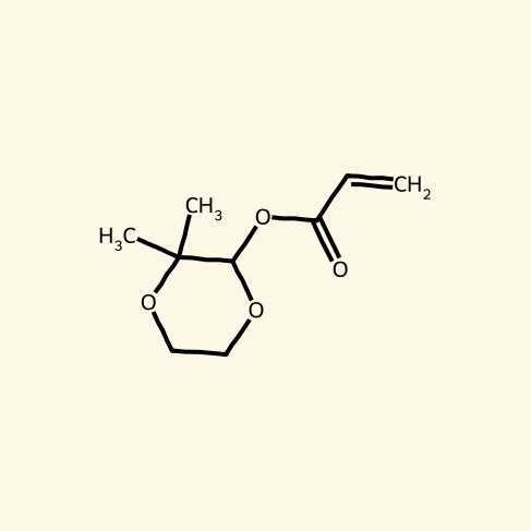 C=CC(=O)OC1OCCOC1(C)C